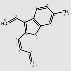 C=C/C=C\c1sc2cc(C)ccc2c1C=C